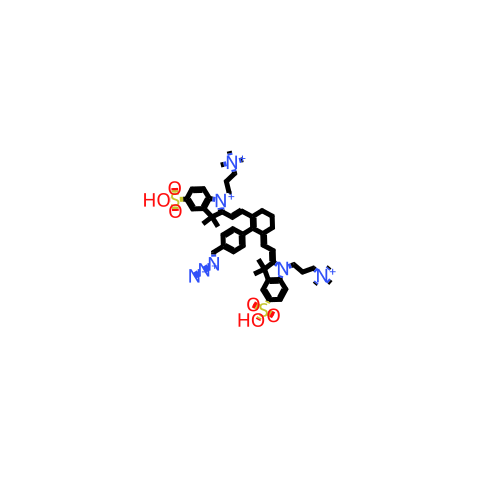 CC1(C)C(/C=C/C2=C(c3ccc(CN=[N+]=[N-])cc3)C(=C/C=C3/N(CCC[N+](C)(C)C)c4ccc(S(=O)(=O)O)cc4C3(C)C)/CCC2)=[N+](CCC[N+](C)(C)C)c2ccc(S(=O)(=O)O)cc21